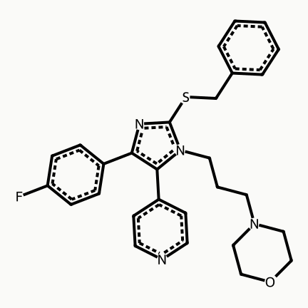 Fc1ccc(-c2nc(SCc3ccccc3)n(CCCN3CCOCC3)c2-c2ccncc2)cc1